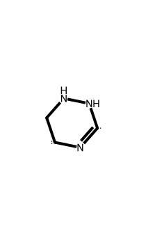 [C]1CNN[C]=N1